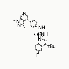 C=C(/C=C(/NC(=O)Nc1ccc(-c2cncc3c2c(C)nn3C)cc1)Nc1ccc(F)cc1)C(C)(C)C